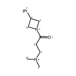 CC(C)C1CN(C(=O)CCN(C)C)C1